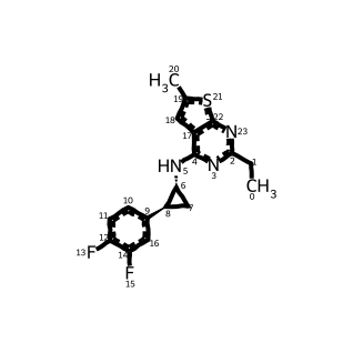 CCc1nc(N[C@@H]2C[C@H]2c2ccc(F)c(F)c2)c2cc(C)sc2n1